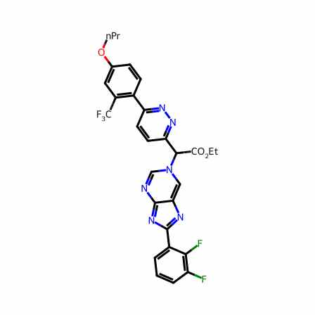 CCCOc1ccc(-c2ccc(C(C(=O)OCC)n3cnc4nc(-c5cccc(F)c5F)nc-4c3)nn2)c(C(F)(F)F)c1